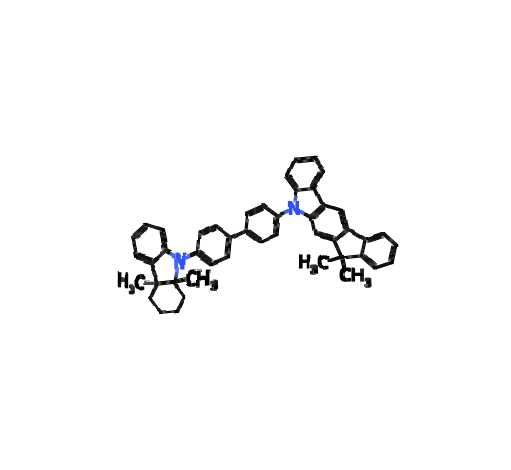 CC1(C)c2ccccc2-c2cc3c4ccccc4n(-c4ccc(-c5ccc(N6c7ccccc7C7(C)CCCCC67C)cc5)cc4)c3cc21